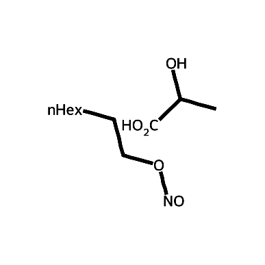 CC(O)C(=O)O.CCCCCCCCON=O